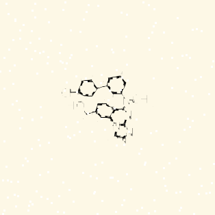 CN(c1cccc(-c2ccc(Cl)cc2)c1)c1nc2nncn2c2cc(CO)ccc12